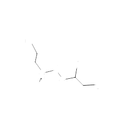 CCC[SiH](C)O[SiH2]C(O)CO